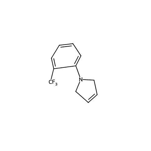 FC(F)(F)c1ccccc1N1CC=CC1